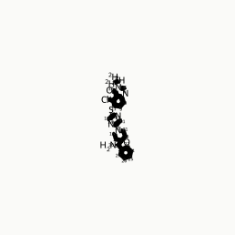 [2H]C([2H])([2H])n1cnc2ccc(Sc3cnc(N4CCC5(CC4)Oc4ccccc4[C@H]5N)cn3)c(Cl)c2c1=O